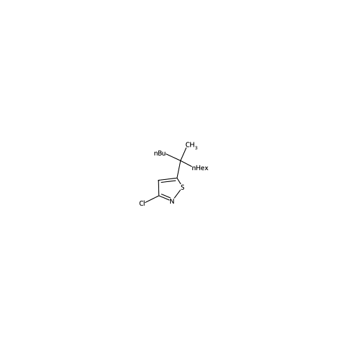 CCCCCCC(C)(CCCC)c1cc(Cl)ns1